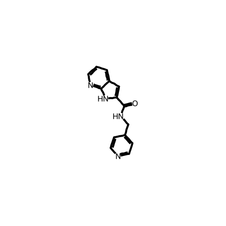 O=C(NCc1ccncc1)c1cc2cccnc2[nH]1